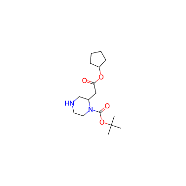 CC(C)(C)OC(=O)N1CCNCC1CC(=O)OC1CCCC1